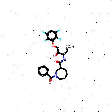 O=C(O)CC(NC(=O)C1CCCCN(C(=O)c2ccccc2)C1)C(=O)COc1c(F)c(F)cc(F)c1F